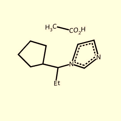 CC(=O)O.CCC(C1CCCC1)n1ccnc1